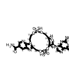 NC(=O)c1cnc2c(c1)nc1n2CCOP(=O)(S)OC[C@@H]2C[C@@H](OP(=O)(S)OC1)[C@H](n1cnc3c(=O)[nH]c(N)nc31)O2